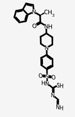 C[C@@H](C(=O)NC1CCN(c2ccc(S(=O)(=O)N/C(S)=N/C=N)cc2)CC1)n1ccc2ccccc21